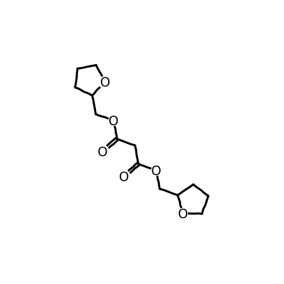 O=C(CC(=O)OCC1CCCO1)OCC1CCCO1